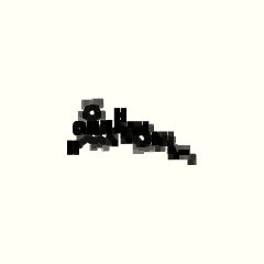 N#Cc1cc2cnc(Nc3nc4ccc(NCCN)cc4[nH]3)nc2n(C2CCCC2)c1=O